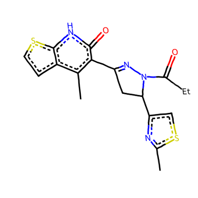 CCC(=O)N1N=C(c2c(C)c3ccsc3[nH]c2=O)CC1c1csc(C)n1